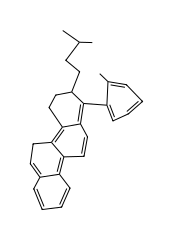 Cc1ccccc1C1=c2ccc3c(c2CCC1CCC(C)C)CC=c1ccccc1=3